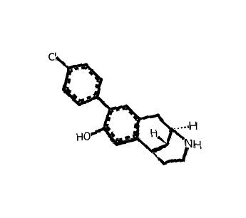 Oc1cc2c(cc1-c1ccc(Cl)cc1)C[C@H]1NCC[C@@]23CCCC[C@@H]13